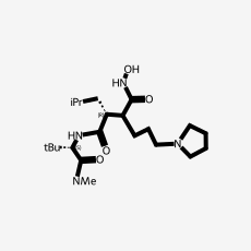 CNC(=O)[C@@H](NC(=O)[C@H](CC(C)C)C(CCCN1CCCC1)C(=O)NO)C(C)(C)C